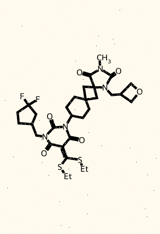 CCSC(SCC)=C1C(=O)N(CC2CCC(F)(F)C2)C(=O)N(C2CCC3(CC2)CC2(C3)C(=O)N(C)C(=O)N2CC2COC2)C1=O